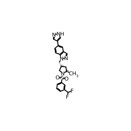 C[C@@H]1C[C@@H](Cn2ncc3cc(-c4cn[nH]c4)ccc32)CN1S(=O)(=O)c1cccc(C(F)F)c1